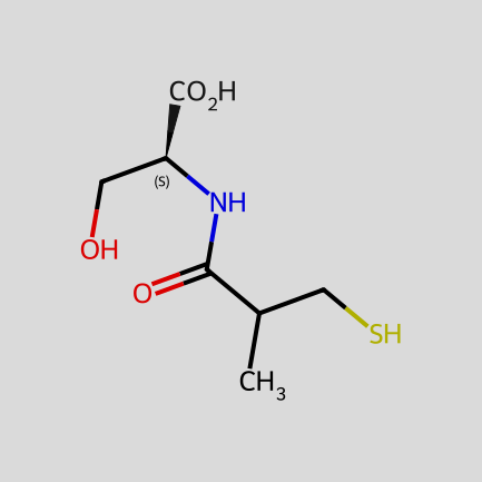 CC(CS)C(=O)N[C@@H](CO)C(=O)O